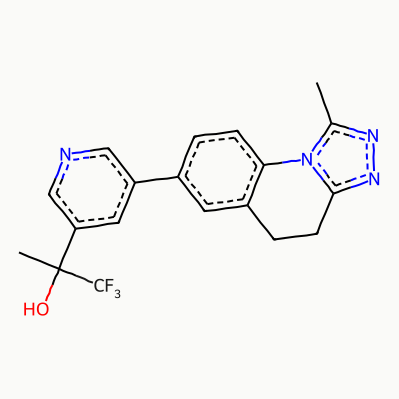 Cc1nnc2n1-c1ccc(-c3cncc(C(C)(O)C(F)(F)F)c3)cc1CC2